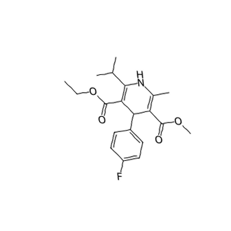 CCOC(=O)C1=C(C(C)C)NC(C)=C(C(=O)OC)C1c1ccc(F)cc1